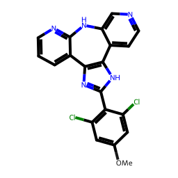 COc1cc(Cl)c(-c2nc3c([nH]2)-c2ccncc2Nc2ncccc2-3)c(Cl)c1